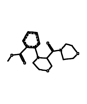 COC(=O)c1ccccc1N1CCOCC1C(=O)N1CCOCC1